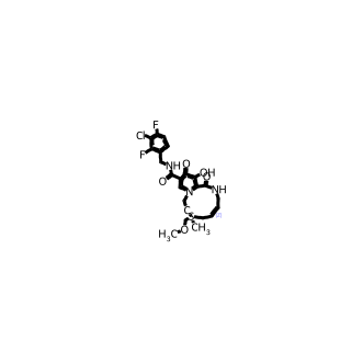 COCS1(C)C/C=C\CNC(=O)c2c(O)c(=O)c(C(=O)NCc3ccc(F)c(Cl)c3F)cn2CC1